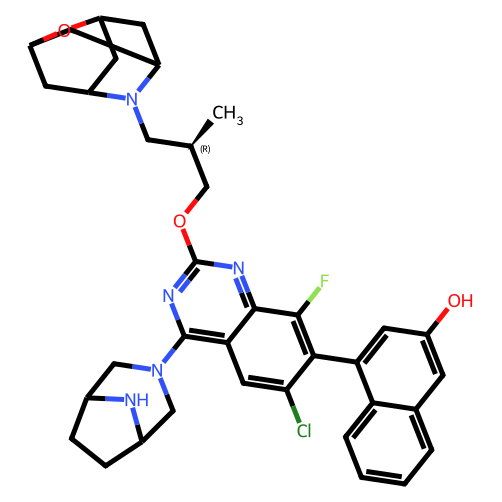 C[C@@H](COc1nc(N2CC3CCC(C2)N3)c2cc(Cl)c(-c3cc(O)cc4ccccc34)c(F)c2n1)CN1C2CC3CC1CC(C2)O3